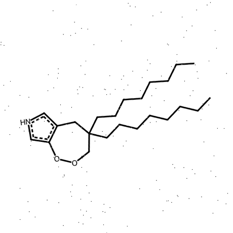 CCCCCCCCC1(CCCCCCCC)COOc2c[nH]cc2C1